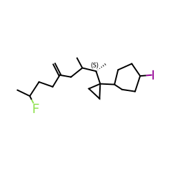 C=C(CCC(C)F)CC(C)[C@H](C)C1(C2CCC(I)CC2)CC1